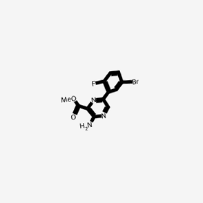 COC(=O)c1nc(-c2cc(Br)ccc2F)cnc1N